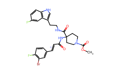 COC(=O)N1CCC(NC(=O)/C=C/c2ccc(F)c(Br)c2)(C(=O)NCCc2c[nH]c3ccc(F)cc23)CC1